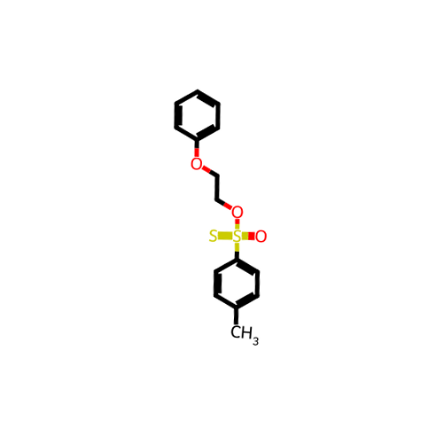 Cc1ccc(S(=O)(=S)OCCOc2ccccc2)cc1